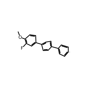 COc1ccc(-c2ccc(-c3cc[c]cc3)cc2)cc1F